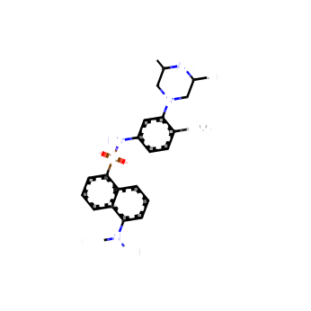 COc1ccc(NS(=O)(=O)c2cccc3c(N(C)C)cccc23)cc1N1CC(C)NC(C)C1